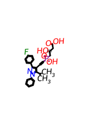 CC(C)c1c(C#CP(=O)(O)C[C@@H](O)CC(=O)O)c(-c2ccc(F)cc2)nn1-c1ccccc1